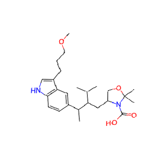 COCCCc1c[nH]c2ccc(C(C)C(CC3COC(C)(C)N3C(=O)O)C(C)C)cc12